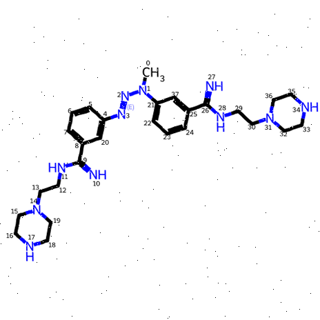 CN(/N=N/c1cccc(C(=N)NCCN2CCNCC2)c1)c1cccc(C(=N)NCCN2CCNCC2)c1